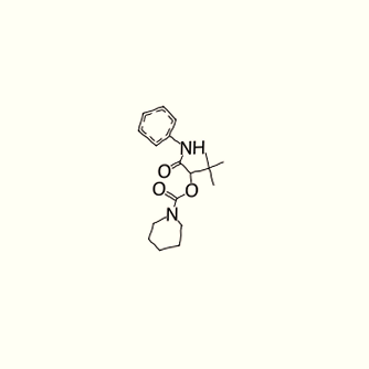 CC(C)(C)C(OC(=O)N1CCCCC1)C(=O)Nc1ccccc1